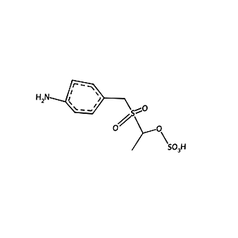 CC(OS(=O)(=O)O)S(=O)(=O)Cc1ccc(N)cc1